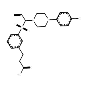 C=CC(N1CCN(c2ccc(Cl)cc2)CC1)S(=O)(=O)c1cccc(CCC(=O)O)c1